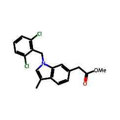 COC(=O)Cc1ccc2c(C)cn(Cc3c(Cl)cccc3Cl)c2c1